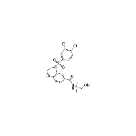 CC(C)(CO)NC(=O)c1cnc2c(c1)N(S(=O)(=O)c1ccc(Cl)c(Cl)c1)CCO2